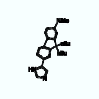 CCCCC1(CCCC)c2cc(NC)ccc2-c2ccc(-c3cnc[nH]3)cc21